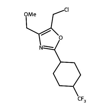 COCc1nc(C2CCC(C(F)(F)F)CC2)oc1CCl